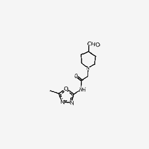 Cc1nnc(NC(=O)CN2CCC(C=O)CC2)o1